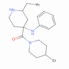 CCC1CCN(C(=O)C2(Nc3ccccc3)CCNC(CC(C)C)C2)CC1